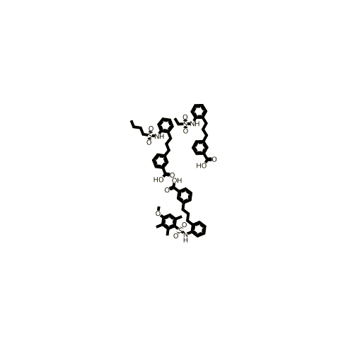 CCCCS(=O)(=O)Nc1ccccc1CCCc1cccc(C(=O)O)c1.CCS(=O)(=O)Nc1ccccc1CCCc1cccc(C(=O)O)c1.COc1cc(C)c(S(=O)(=O)Nc2ccccc2CCCc2cccc(C(=O)O)c2)c(C)c1C